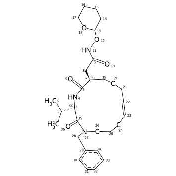 CC(C)[C@@H]1NC(=O)[C@@H](CC(=O)NOC2CCCCO2)CCCC=CCCCN(Cc2ccccc2)C1=O